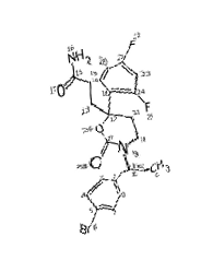 C[C@@H](c1ccc(Br)cc1)N1CCC(CCC(N)=O)(c2ccc(F)cc2F)OC1=O